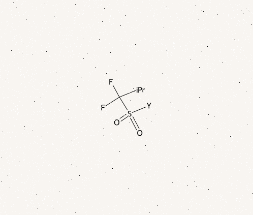 CC(C)C(F)(F)[S](=O)(=O)[Y]